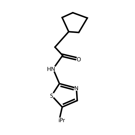 CC(C)c1cnc(NC(=O)CC2CCCC2)s1